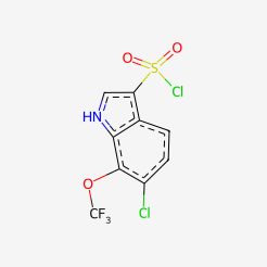 O=S(=O)(Cl)c1c[nH]c2c(OC(F)(F)F)c(Cl)ccc12